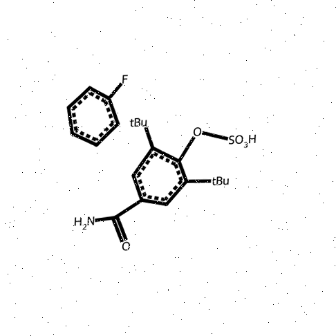 CC(C)(C)c1cc(C(N)=O)cc(C(C)(C)C)c1OS(=O)(=O)O.Fc1ccccc1